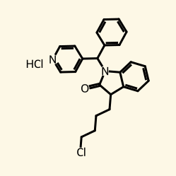 Cl.O=C1C(CCCCCl)c2ccccc2N1C(c1ccccc1)c1ccncc1